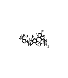 CN(C1CCN(c2ncc3c4c(c(-c5ncc(F)c6sc(N)c(C#N)c56)c(F)c3n2)COC4)C1)C(C)(C)C